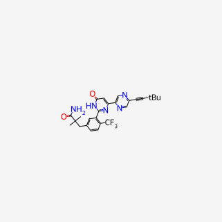 CC(C)(C)C#Cc1cnc(-c2cc(=O)[nH]c(-c3cc(CC(C)(C)C(N)=O)ccc3C(F)(F)F)n2)cn1